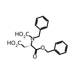 O=C(O)C[C@@H](C(=O)OCc1ccccc1)N(Cc1ccccc1)C(=O)O